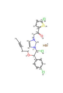 Br.CC#CCCOC(c1ccc(Cl)cc1)C(Cl)N1C=CN(CC(=O)c2ccc(Cl)s2)C1